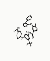 Cc1ccc(C(=O)Nc2cc(OC3CCN(C(=O)O)CC3)cc(C(F)(F)F)c2)cc1Oc1ncccc1-c1ccncn1